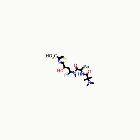 CCC(C)C(NC(=O)C(C)(C)N(C)C)C(=O)N(C)C(CC(O)c1nc(C(=O)O)cs1)C(C)C